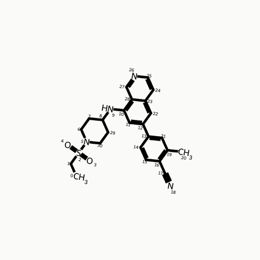 CCS(=O)(=O)N1CCC(Nc2cc(-c3ccc(C#N)c(C)c3)cc3ccncc23)CC1